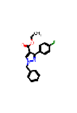 CCOC(=O)c1cn(Cc2ccccc2)nc1-c1ccc(F)cc1